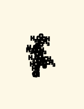 CC(C)C1=C2[C@H]3CC[C@@H]4[C@@]5(C)CC[C@H](OC(=O)CC(C)(C)C(=O)O)C(C)(C)[C@@H]5CC[C@@]4(C)[C@]3(C)CC[C@@]2([C@@H](O)CNCc2ccccn2)CC1=O